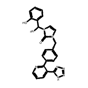 CCCC(c1ccccc1O)n1ccn(Cc2ccc(-c3ncccc3-c3nnn[nH]3)cc2)c1=O